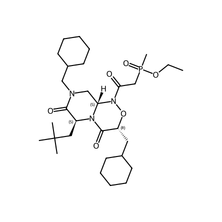 CCOP(C)(=O)CC(=O)N1O[C@H](CC2CCCCC2)C(=O)N2[C@@H]1CN(CC1CCCCC1)C(=O)[C@@H]2CC(C)(C)C